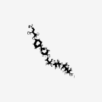 CC(C)C[C@H](Cl)C(=O)Oc1ccc(-c2ncc(OCC(F)(F)OC(F)(F)C(F)(F)OC(F)(F)C(F)(F)C(F)(F)C(F)(F)F)cn2)cc1